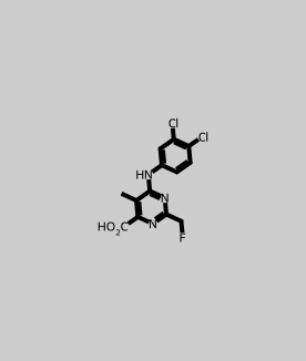 Cc1c(Nc2ccc(Cl)c(Cl)c2)nc(CF)nc1C(=O)O